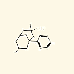 CC1CC2CC(C)(C=O)CC(c3ccccc3)(C1)C2